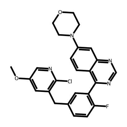 COc1cnc(Cl)c(Cc2ccc(F)c(-c3ncnc4cc(N5CCOCC5)ccc34)c2)c1